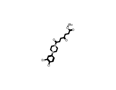 CCc1cc(N2CCN(C(=O)CCC(=O)CCC(=O)OC(C)(C)C)CC2)ccc1Cl